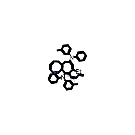 C=C/C=C\C1=C(/N(c2ccccc2)c2cccc(C)c2)C2=C(CC=C=C/C=C\2)CC(N(c2ccccc2)c2cccc(C)c2)=C=C1CC